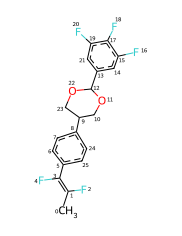 C/C(F)=C(\F)c1ccc(C2COC(c3cc(F)c(F)c(F)c3)OC2)cc1